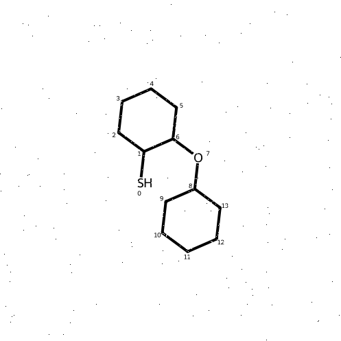 SC1CCCCC1OC1CCCCC1